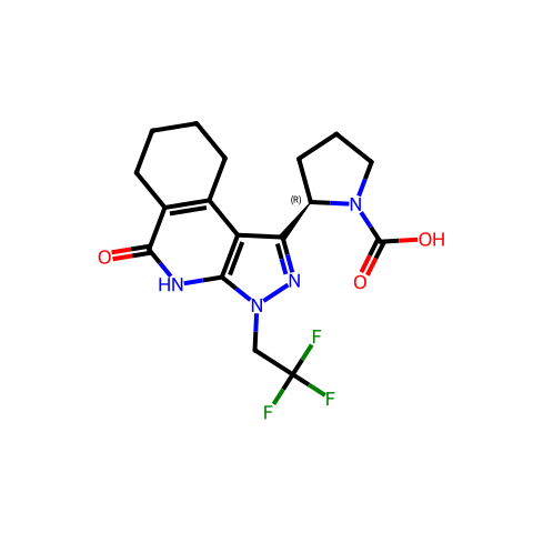 O=C(O)N1CCC[C@@H]1c1nn(CC(F)(F)F)c2[nH]c(=O)c3c(c12)CCCC3